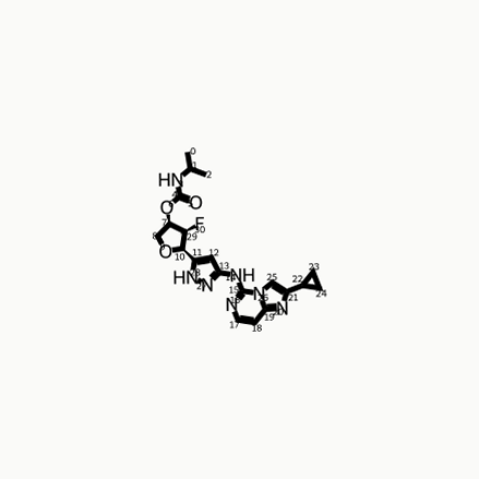 CC(C)NC(=O)O[C@@H]1CO[C@H](c2cc(Nc3nccc4nc(C5CC5)cn34)n[nH]2)[C@@H]1F